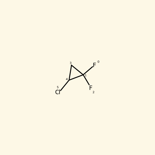 FC1(F)CC1Cl